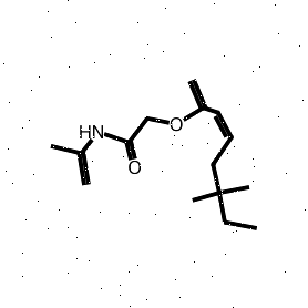 C=C(C)NC(=O)COC(=C)/C=C\CC(C)(C)CC